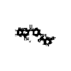 Cc1cc(NC2CCC(NC(=O)c3cncc(Br)c3)CC2)nc2ccccc12